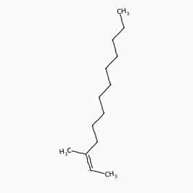 C/[C]=C(/C)CCCCCCCCCC